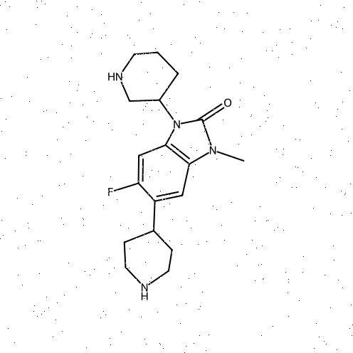 Cn1c(=O)n(C2CCCNC2)c2cc(F)c(C3CCNCC3)cc21